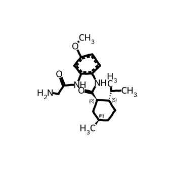 COc1ccc(NC(=O)[C@@H]2C[C@H](C)CC[C@H]2C(C)C)c(NC(=O)CN)c1